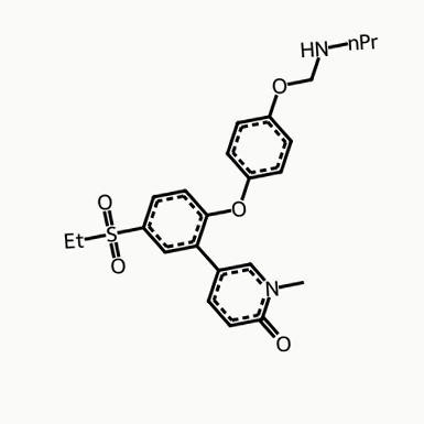 CCCNCOc1ccc(Oc2ccc(S(=O)(=O)CC)cc2-c2ccc(=O)n(C)c2)cc1